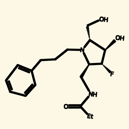 CCC(=O)NC[C@@H]1[C@@H](F)[C@H](O)[C@@H](CO)N1CCCc1ccccc1